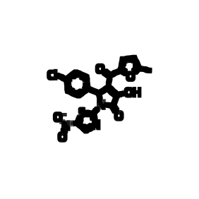 Cc1ccc(C(=O)C2=C(O)C(=O)N(c3ncc([N+](=O)[O-])s3)C2c2ccc(Cl)cc2)o1